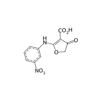 O=C(O)C1=C(Nc2cccc([N+](=O)[O-])c2)OCC1=O